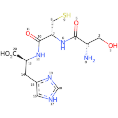 N[C@@H](CO)C(=O)N[C@@H](CS)C(=O)N[C@@H](Cc1c[nH]cn1)C(=O)O